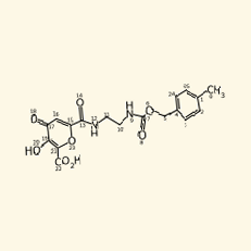 Cc1ccc(COC(=O)NCCNC(=O)c2cc(=O)c(O)c(C(=O)O)o2)cc1